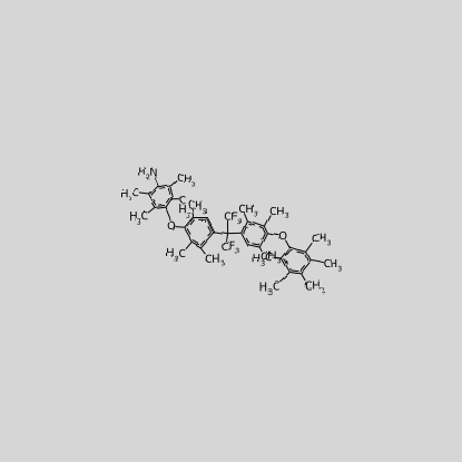 Cc1cc(C(c2cc(C)c(Oc3c(C)c(C)c(N)c(C)c3C)c(C)c2C)(C(F)(F)F)C(F)(F)F)c(C)c(C)c1Oc1c(C)c(C)c(C)c(C)c1C